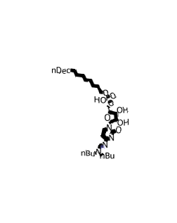 CCCCCCCCCCCCCCCCCCOP(=O)(O)OC[C@H]1O[C@@H](n2ccc(/N=C/N(CCCC)CCCC)nc2=O)C(O)[C@H]1O